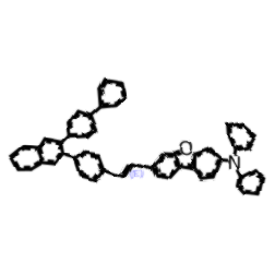 C(=C\c1ccc2c(c1)oc1cc(N(c3ccccc3)c3ccccc3)ccc12)/c1ccc(-c2cc3ccccc3cc2-c2ccc(-c3ccccc3)cc2)cc1